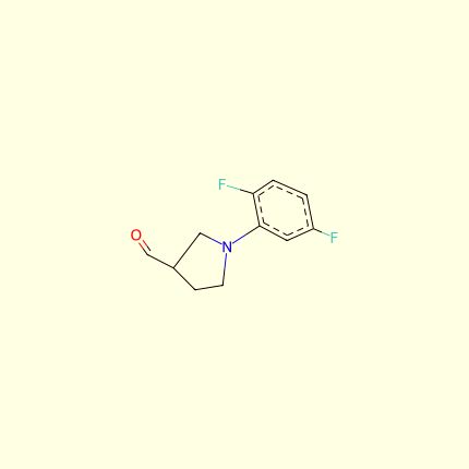 O=CC1CCN(c2cc(F)ccc2F)C1